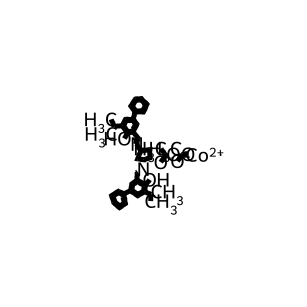 CC(=O)[O-].CC(=O)[O-].CC(C)c1cc(-c2ccccc2)cc(C=NC2CCC(N=Cc3cc(-c4ccccc4)cc(C(C)C)c3O)C2)c1O.[Co+2]